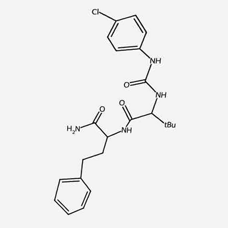 CC(C)(C)C(NC(=O)Nc1ccc(Cl)cc1)C(=O)NC(CCc1ccccc1)C(N)=O